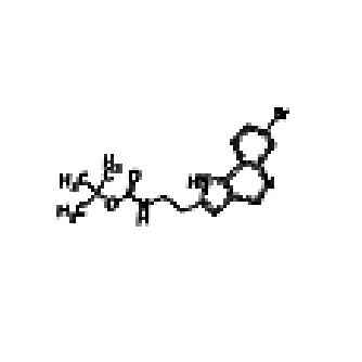 CC(C)(C)OC(=O)NCCc1cc2cnc3cc(Br)ccc3c2[nH]1